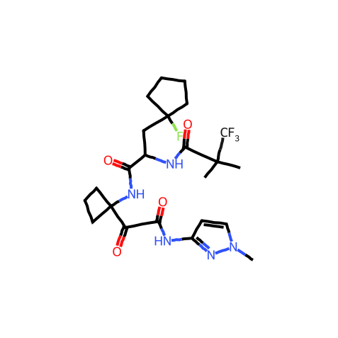 Cn1ccc(NC(=O)C(=O)C2(NC(=O)C(CC3(F)CCCC3)NC(=O)C(C)(C)C(F)(F)F)CCC2)n1